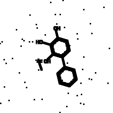 CC(C)=O.Oc1ccc(-c2ccccc2)c(O)c1O